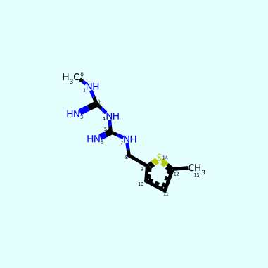 CNC(=N)NC(=N)NCc1ccc(C)s1